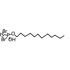 CCCCCCCCCCCCOP(O)(S)(Br)Br